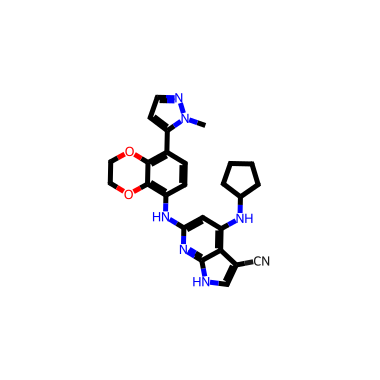 Cn1nccc1-c1ccc(Nc2cc(NC3CCCC3)c3c(C#N)c[nH]c3n2)c2c1OCCO2